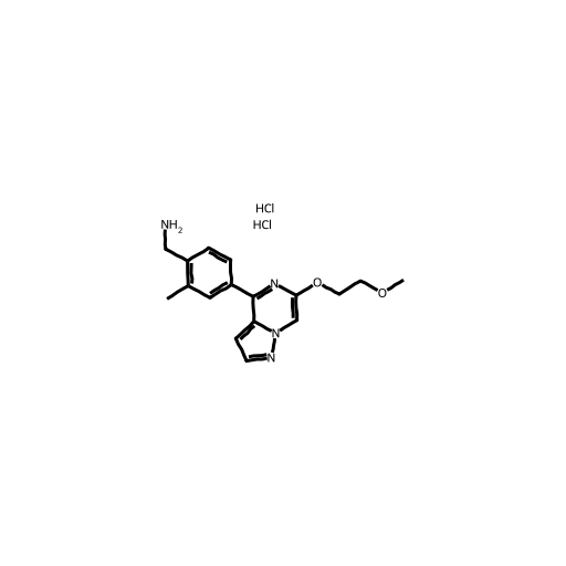 COCCOc1cn2nccc2c(-c2ccc(CN)c(C)c2)n1.Cl.Cl